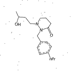 CCCc1ccc(CN2C(=O)CCCN2CCC(C)O)cc1